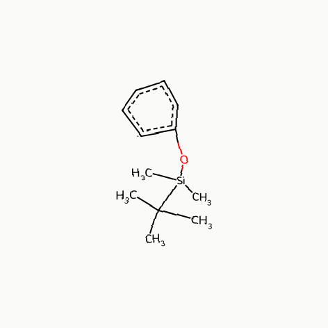 CC(C)(C)[Si](C)(C)Oc1[c]cccc1